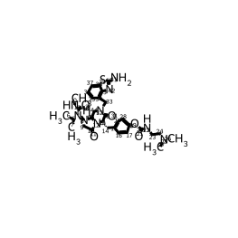 CNC(=O)N(C(C)C)N1CC(=O)N2[C@@H](Cc3ccc(OC(=O)NCCN(C)C)cc3)C(=O)N(Cc3cccc4sc(N)nc34)C[C@@H]21